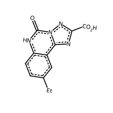 CCc1ccc2[nH]c(=O)n3nc(C(=O)O)nc3c2c1